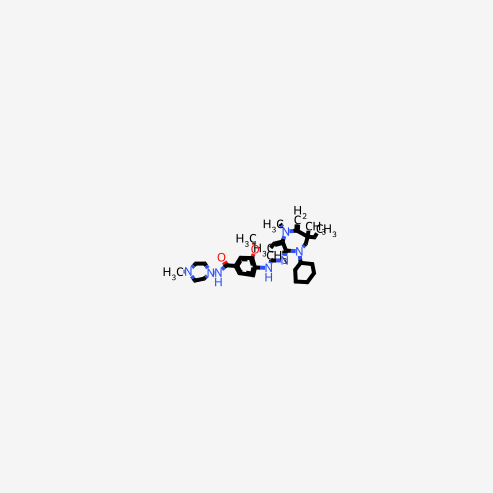 C=C1N(C)C(=C/C)/C(=N\C(C)Nc2ccc(C(=O)NN3CCN(C)CC3)cc2OC)N(C2CCCCC2)CC1(C)CC